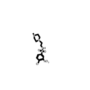 CN1CCN(CCNS(=O)(=O)c2ccc(Cl)c([N+](=O)[O-])c2)CC1